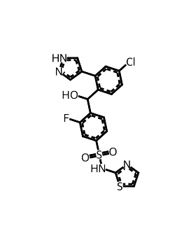 O=S(=O)(Nc1nccs1)c1ccc(C(O)c2ccc(Cl)cc2-c2cn[nH]c2)c(F)c1